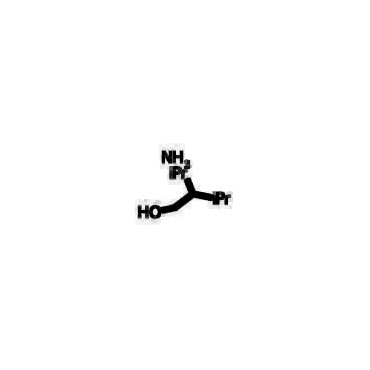 CC(C)C(CO)C(C)C.N